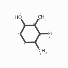 CCC1C(C)CCC(O)C1C